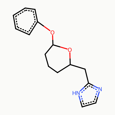 c1ccc(OC2CCCC(Cc3ncc[nH]3)O2)cc1